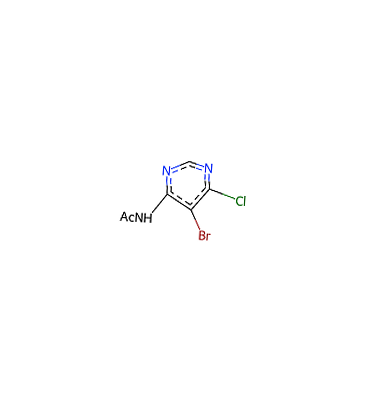 CC(=O)Nc1ncnc(Cl)c1Br